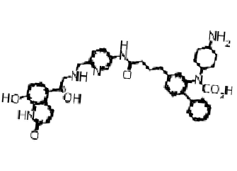 NC1CCC(N(C(=O)O)c2cc(CCCC(=O)Nc3ccc(CNC[C@@H](O)c4ccc(O)c5[nH]c(=O)ccc45)nc3)ccc2-c2ccccc2)CC1